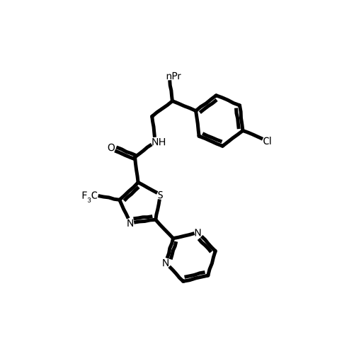 CCCC(CNC(=O)c1sc(-c2ncccn2)nc1C(F)(F)F)c1ccc(Cl)cc1